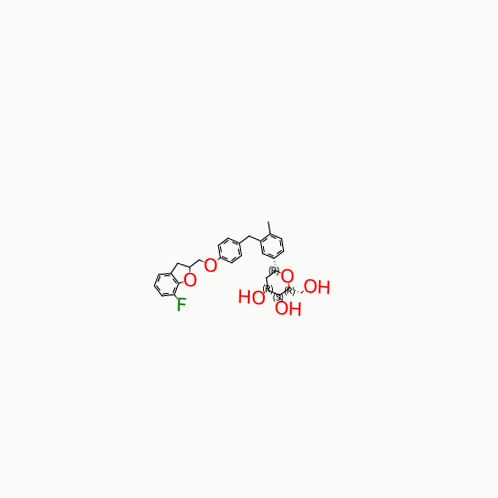 Cc1ccc([C@H]2C[C@@H](O)[C@H](O)[C@@H](CO)O2)cc1Cc1ccc(OCC2Cc3cccc(F)c3O2)cc1